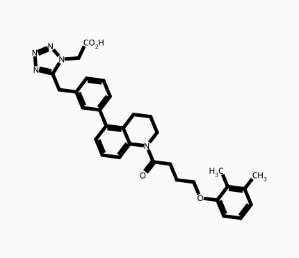 Cc1cccc(OCCCC(=O)N2CCCc3c(-c4cccc(Cc5nnnn5CC(=O)O)c4)cccc32)c1C